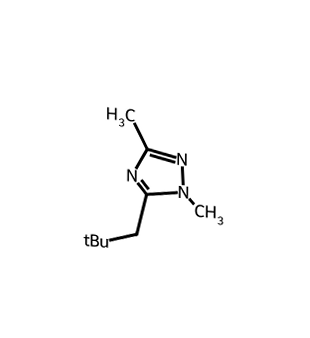 Cc1nc(CC(C)(C)C)n(C)n1